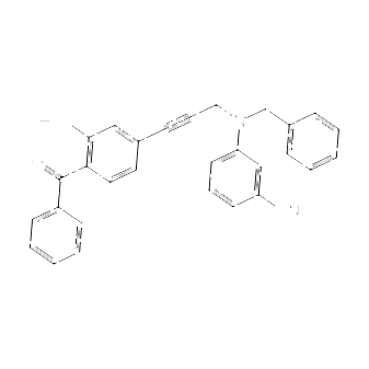 Cc1cc(C#CCN(Cc2ccccc2)c2cccc(C#N)c2)ccc1C(=O)c1ccccc1